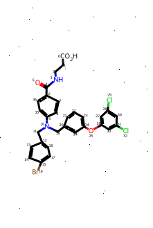 O=C(O)CCNC(=O)c1ccc(N(Cc2ccc(Br)cc2)Cc2cccc(Oc3cc(Cl)cc(Cl)c3)c2)cc1